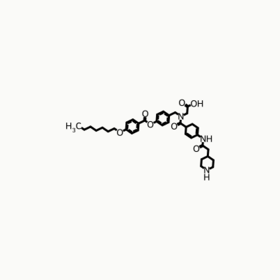 CCCCCCCOc1ccc(C(=O)Oc2ccc(CN(CC(=O)O)C(=O)C3C=CC(NC(=O)CC4CCNCC4)=CC3)cc2)cc1